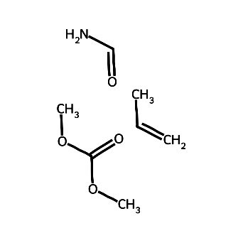 C=CC.COC(=O)OC.NC=O